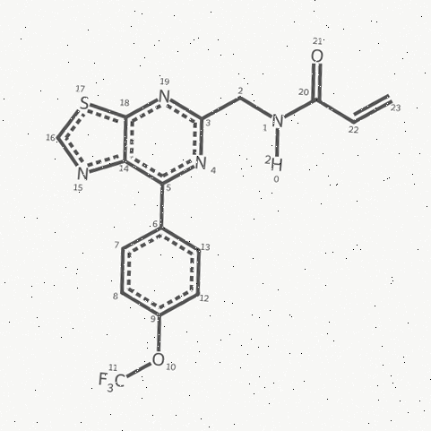 [2H]N(Cc1nc(-c2ccc(OC(F)(F)F)cc2)c2ncsc2n1)C(=O)C=C